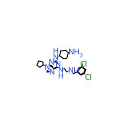 NC1CCC(Nc2nc(NCCNCc3cc(Cl)cc(Cl)c3)c3ncn(C4CCCC4)c3n2)CC1